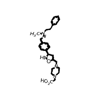 CN(CCc1ccccc1)N=Cc1ccc(C2CC(CN3CCN(CC(=O)O)CC3)ON2)cc1